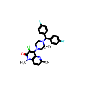 CC[C@@H]1CN(c2c(Cl)c(=O)n(C)c3ccc(C#N)nc23)CCN1C(c1ccc(F)cc1)c1ccc(F)cc1